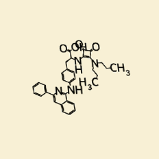 CCCN(CCC)c1c(N[C@@H](Cc2ccc(Nc3nc(-c4ccccc4)cc4ccccc34)cc2)C(=O)O)c(=O)c1=O